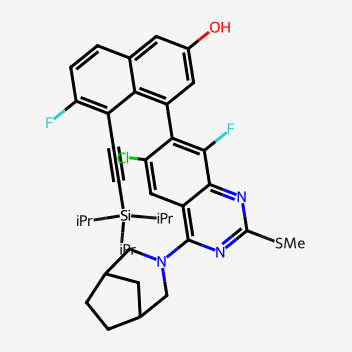 CSc1nc(N2CC3CCC(C3)C2)c2cc(Cl)c(-c3cc(O)cc4ccc(F)c(C#C[Si](C(C)C)(C(C)C)C(C)C)c34)c(F)c2n1